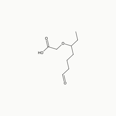 CCC(CCCC=O)OCC(=O)O